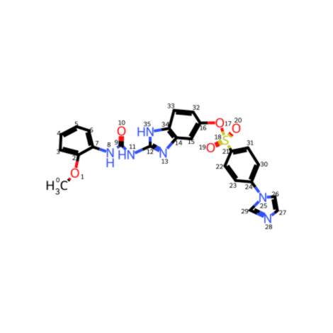 COc1ccccc1NC(=O)Nc1nc2cc(OS(=O)(=O)c3ccc(-n4ccnc4)cc3)ccc2[nH]1